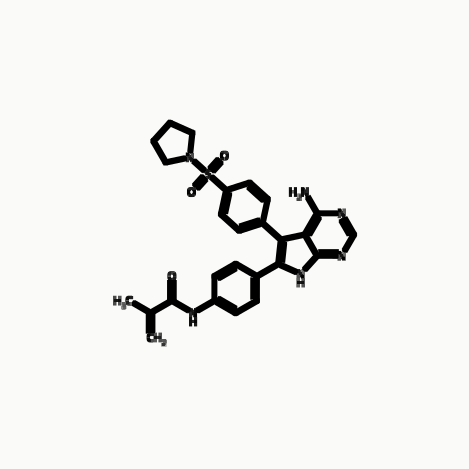 C=C(C)C(=O)Nc1ccc(-c2[nH]c3ncnc(N)c3c2-c2ccc(S(=O)(=O)N3CCCC3)cc2)cc1